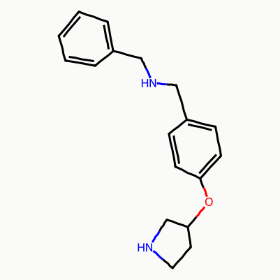 c1ccc(CNCc2ccc(OC3CCNC3)cc2)cc1